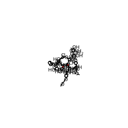 CCOCCCOc1ccc(S(=O)(=O)NC(=O)C[C@@H]2NC(=O)[C@H](NC(=O)[C@@H](CC(C)C)NC)[C@H](O)c3ccc(c(Cl)c3)Oc3cc4cc(c3O[C@@H]3O[C@H](CO)[C@@H](O)[C@H](O)[C@H]3O[C@H]3C[C@](C)(N)[C@H](O)[C@H](C)O3)Oc3ccc(cc3Cl)[C@@H](O)[C@@H]3NC(=O)[C@H](NC(=O)[C@@H]4NC2=O)c2ccc(O)c(c2)-c2c(O)cc(O)cc2[C@@H](C(=O)NC2C4CC5CC(C4)CC2C5)NC3=O)cc1